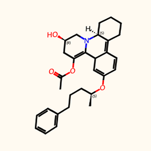 CC(=O)OC1=C2C3C=C(O[C@@H](C)CCCc4ccccc4)C=CC3=C3CCCC[C@@H]3N2C[C@H](O)C1